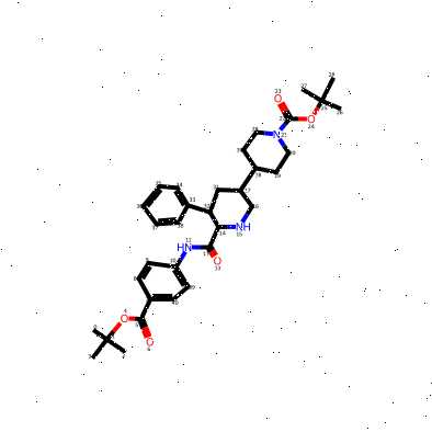 CC(C)(C)OC(=O)c1ccc(NC(=O)C2NCC(C3CCN(C(=O)OC(C)(C)C)CC3)CC2c2ccccc2)cc1